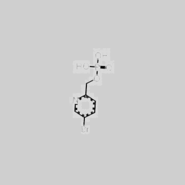 O=P(O)(O)OCc1ccc(Br)cn1